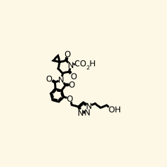 O=C(O)N1C(=O)C(N2C(=O)c3cccc(OCc4cn(CCCO)nn4)c3C2=O)CC2(CC2)C1=O